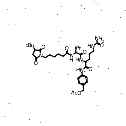 CC(=O)OCc1ccc(NC(=O)C(CCCNC(N)=O)NC(=O)C(NC(=O)CCCCCN2C(=O)CC(C(C)(C)C)C2=O)C(C)C)cc1